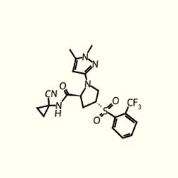 Cc1cc(N2C[C@H](S(=O)(=O)c3ccccc3C(F)(F)F)C[C@H]2C(=O)NC2(C#N)CC2)nn1C